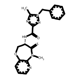 Cc1nc(C(=O)N[C@H]2COc3cccnc3N(C)C2=S)nn1Cc1ccccc1